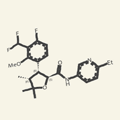 CCc1ccc(NC(=O)[C@H]2OC(C)(C)[C@H](C)[C@@H]2c2ccc(F)c(C(F)F)c2OC)cn1